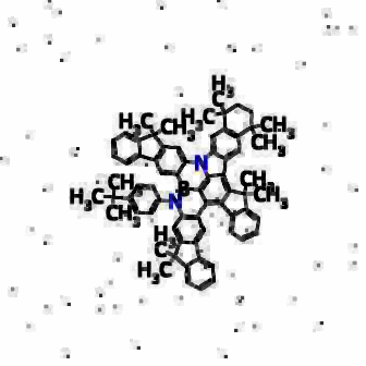 CC(C)(C)c1ccc(N2B3c4cc5c(cc4-n4c6cc7c(cc6c6c8c(c(c3c64)-c3cc4c(cc32)C(C)(C)c2ccccc2-4)-c2ccccc2C8(C)C)C(C)(C)CCC7(C)C)C(C)(C)c2ccccc2-5)cc1